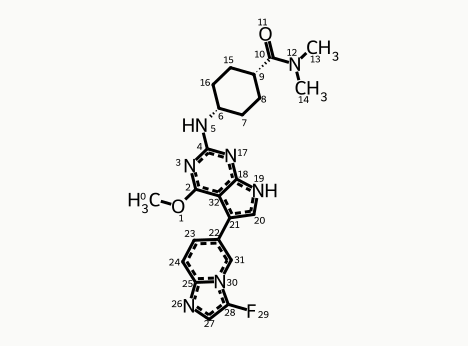 COc1nc(N[C@H]2CC[C@@H](C(=O)N(C)C)CC2)nc2[nH]cc(-c3ccc4ncc(F)n4c3)c12